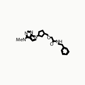 CNc1ncnc2c1ccn2C1CCC(COCC(=O)NCCc2ccccc2)C1